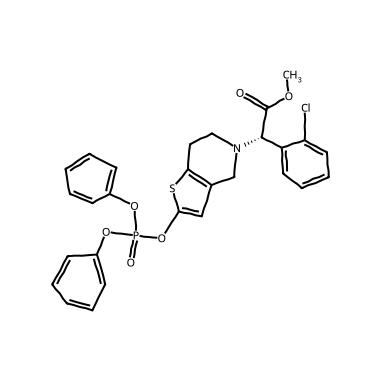 COC(=O)[C@H](c1ccccc1Cl)N1CCc2sc(OP(=O)(Oc3ccccc3)Oc3ccccc3)cc2C1